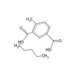 CCCCC.Cc1ccc(C(=O)O)cc1C(=O)O